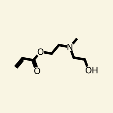 C=CC(=O)OCCN(C)CCO